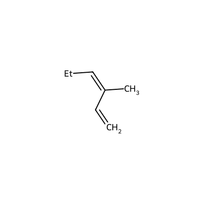 C=CC(C)=CCC